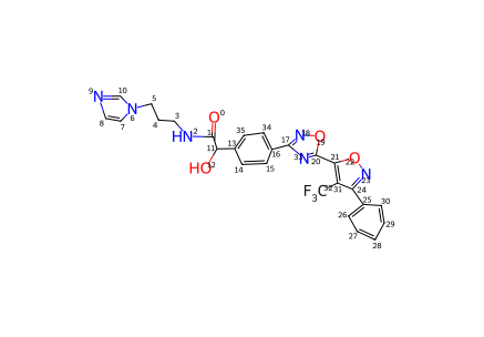 O=C(NCCCn1ccnc1)C(O)c1ccc(-c2noc(-c3onc(-c4ccccc4)c3C(F)(F)F)n2)cc1